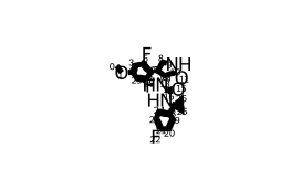 COc1cc(F)c([C@@H]2CNC(=O)[C@H]2NC(=O)NC2(c3ccc(F)cc3)CC2)c(F)c1